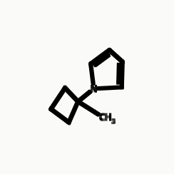 CC1(n2cccc2)CCC1